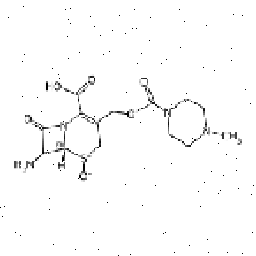 CN1CCN(C(=O)OCC2=C(C(=O)O)N3C(=O)C(N)[C@H]3[S+]([O-])C2)CC1